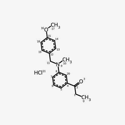 CCC(=O)c1cccc(N(C)Cc2ccc(OC)cc2)c1.Cl